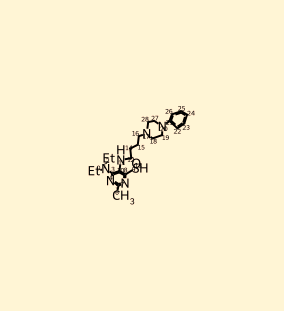 CCN(CC)c1nc(C)nc(S)c1NC(=O)CCCN1CCN(c2ccccc2)CC1